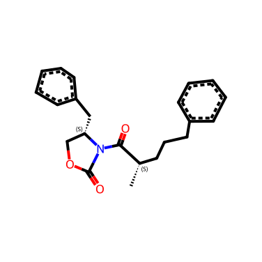 C[C@@H](CCCc1ccccc1)C(=O)N1C(=O)OC[C@@H]1Cc1ccccc1